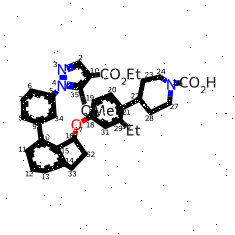 CCOC(=O)c1cnn(-c2cccc(-c3cccc4c3C(Oc3ccc(C5CCN(C(=O)O)CC5)c(CC)c3)CC4)c2)c1OC